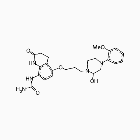 COc1ccccc1N1CCN(CCCOc2ccc(NC(N)=O)c3c2CCC(=O)N3)C(O)C1